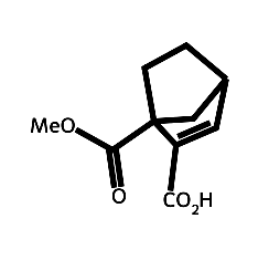 COC(=O)C12CCC(C=C1C(=O)O)C2